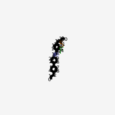 CCCC1CCC(C2CCC(/C=C/c3ccc4cc(CC)sc4c3F)CC2)CC1